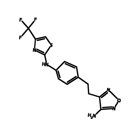 Nc1nonc1CCc1ccc(Nc2nc(C(F)(F)F)cs2)cc1